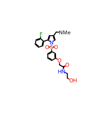 CNCc1cc(-c2ccccc2F)n(S(=O)(=O)c2cccc(OCC(=O)NCCO)c2)c1